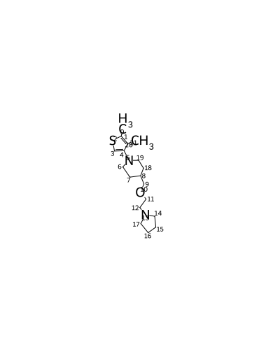 Cc1scc(N2CCC(COCCN3CCCC3)CC2)c1C